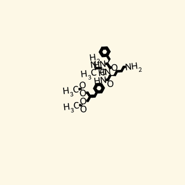 CC(=O)OCC(=Cc1ccc(NC(=O)[C@H](CCCCN)NC(=O)[C@H](Cc2ccccc2)NC(=O)[C@@H](C)N)cc1)COC(C)=O